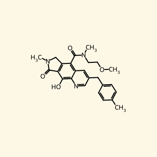 COCCN(C)C(=O)c1c2c(c(O)c3ncc(Cc4ccc(C)cc4)cc13)C(=O)N(C)C2